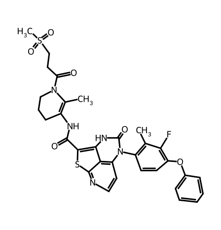 CC1=C(NC(=O)c2sc3nccc4c3c2NC(=O)N4c2ccc(Oc3ccccc3)c(F)c2C)CCCN1C(=O)CCS(C)(=O)=O